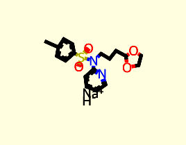 Cc1ccc(S(=O)(=O)N(CCCC2OCCO2)c2ccccn2)cc1.[H-].[Na+]